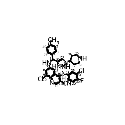 Cc1ccc(C(Nc2cc(Cl)c3ncc(C#N)c(Nc4ccc(F)c(Cl)c4)c3c2)C2=CN(C3CCNCC3)NN2)cc1